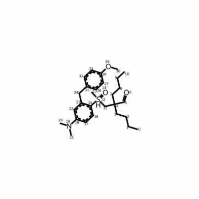 CCCCC(C=O)(CCCC)C[SH](C)(=O)c1ccc(N(C)C)cc1Cc1ccc(OC)cc1